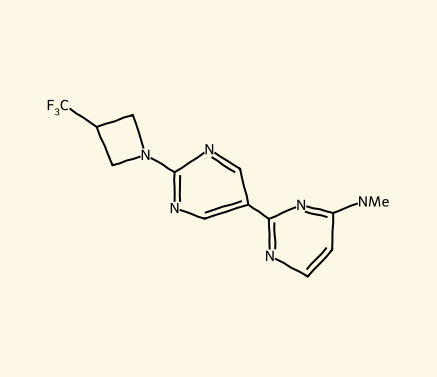 CNc1ccnc(-c2cnc(N3CC(C(F)(F)F)C3)nc2)n1